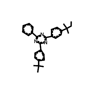 CCC(C)(C)c1ccc(-c2nc(-c3ccccc3)nc(-c3ccc(C(C)(C)C)cc3)n2)cc1